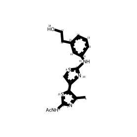 CC(=O)Nc1nc(C)c(-c2csc(Nc3cccc(CCO)c3)n2)s1